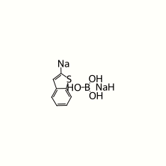 OB(O)O.[NaH].[Na][c]1cc2ccccc2s1